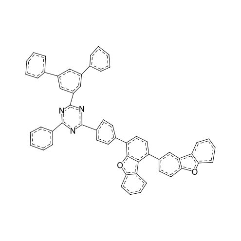 c1ccc(-c2cc(-c3ccccc3)cc(-c3nc(-c4ccccc4)nc(-c4ccc(-c5ccc(-c6ccc7oc8ccccc8c7c6)c6c5oc5ccccc56)cc4)n3)c2)cc1